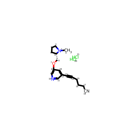 CN1CCC[C@H]1COc1cncc(C#CCCCC#N)c1.Cl.Cl